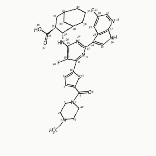 CN1CCN(C(=O)c2ccc(-c3nc(-c4c[nH]c5ncc(F)cc45)nc(N[C@H]4C5CCCC(C5)C[C@@H]4C(=O)O)c3F)s2)CC1